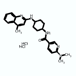 Cc1cc(NC2CCC(NC(=O)c3ccc(N(C)C)nc3)CC2)nc2ccccc12.Cl.Cl